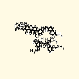 CCOC(=O)[C@@H](C)Oc1ccc(Oc2nc3ccc(Cl)cc3o2)cc1.CCOc1ccccc1OS(=O)(=O)NC(=O)Nc1nc(OC)cc(OC)n1.CS(=O)(=O)c1ccc(C(=O)C2C(=O)CCCC2=O)c(Cl)c1COCC(F)(F)F